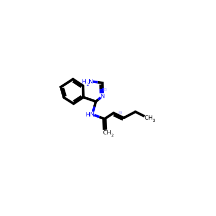 C=C(/C=C/CC)NC(/N=C\N)c1ccccc1